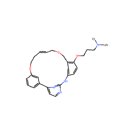 CCCN(CC)CCCOc1ccc2cc1COC/C=C/CCOc1cccc(c1)-c1ccnc(n1)N2